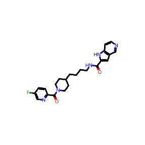 O=C(NCCCCC1CCN(C(=O)c2ccc(F)cn2)CC1)c1cc2cnccc2[nH]1